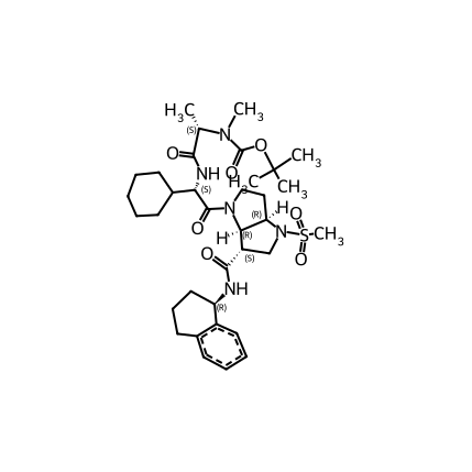 C[C@@H](C(=O)N[C@H](C(=O)N1CC[C@@H]2[C@H]1[C@@H](C(=O)N[C@@H]1CCCc3ccccc31)CN2S(C)(=O)=O)C1CCCCC1)N(C)C(=O)OC(C)(C)C